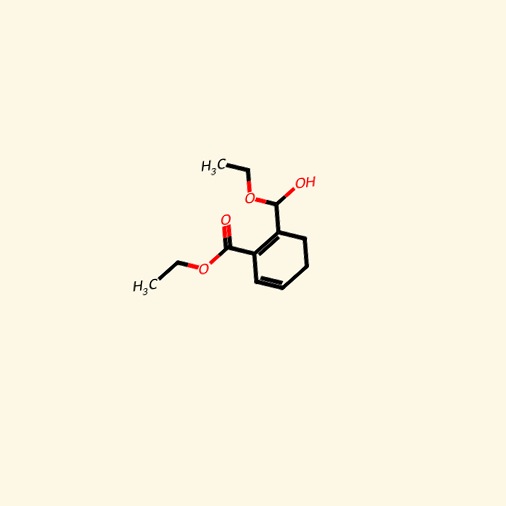 CCOC(=O)C1=C(C(O)OCC)CCC=C1